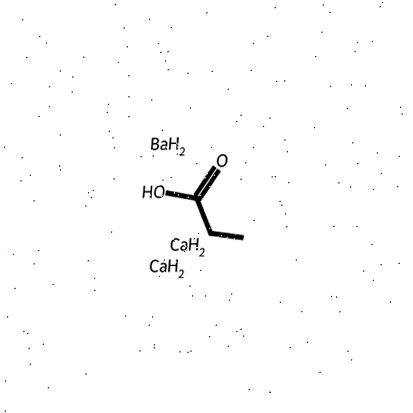 CCC(=O)O.[BaH2].[CaH2].[CaH2]